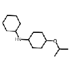 CC(C)OC1CCC(NC2CCCCC2)CC1